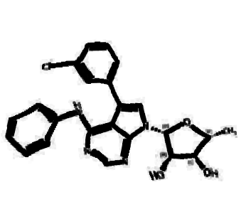 C[C@H]1O[C@@H](n2cc(-c3cccc(Cl)c3)c3c(Nc4ccccc4)ncnc32)[C@H](O)[C@@H]1O